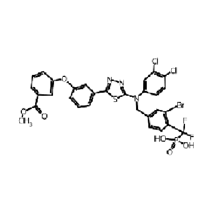 COC(=O)c1cccc(Oc2cccc(-c3nnc(N(Cc4ccc(C(F)(F)P(=O)(O)O)c(Br)c4)c4ccc(Cl)c(Cl)c4)s3)c2)c1